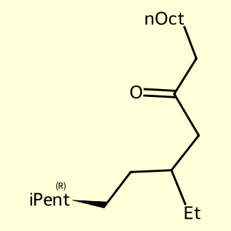 CCCCCCCCCC(=O)CC(CC)CC[C@H](C)CCC